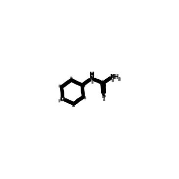 NC(=S)NC1CCOCC1